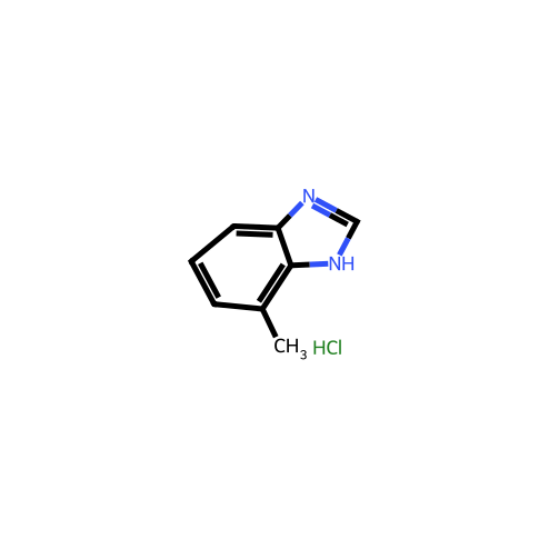 Cc1cccc2nc[nH]c12.Cl